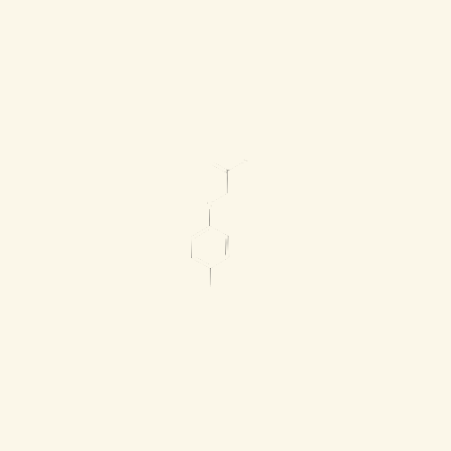 NC(=O)CNc1ccc(F)cc1